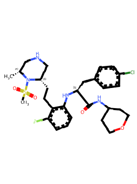 C[C@@H]1CNC[C@H](CCc2c(F)cccc2N[C@@H](Cc2ccc(Cl)cc2)C(=O)NC2CCOCC2)N1S(C)(=O)=O